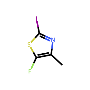 Cc1nc(I)sc1F